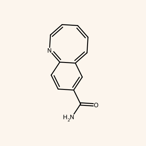 NC(=O)c1ccc2c(c1)=CC=CC=CN=2